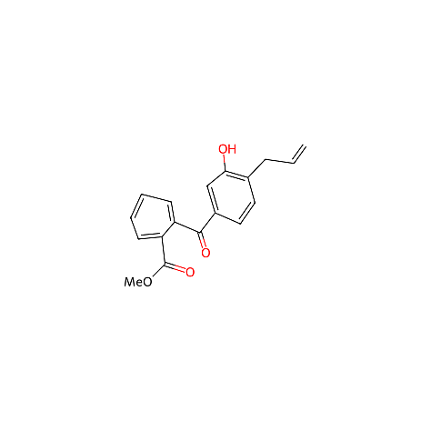 C=CCc1ccc(C(=O)c2ccccc2C(=O)OC)cc1O